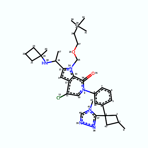 CC1CC(c2cccc(-n3cc(Cl)c4cc(C(C)NC5(C)CCC5)n(COCC[Si](C)(C)C)c4c3=O)c2)(c2nncn2C)C1